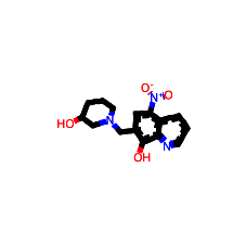 O=[N+]([O-])c1cc(CN2CCCC(O)C2)c(O)c2ncccc12